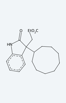 CCOC(=O)CC1(C2CCCCCCCC2)C(=O)Nc2ccccc21